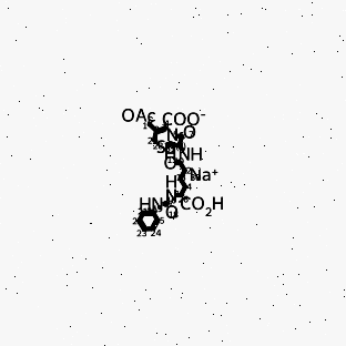 CC(=O)OCC1=C(C(=O)[O-])N2C(=O)[C@@H](NC(=O)CCCC(NC(=O)Nc3ccccc3)C(=O)O)[C@H]2SC1.[Na+]